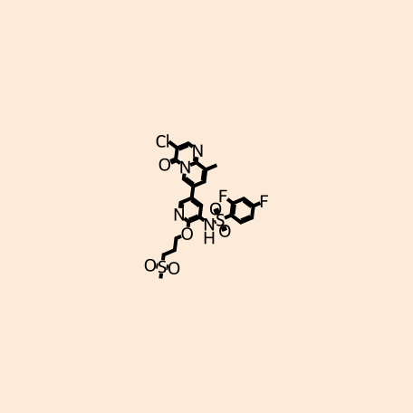 Cc1cc(-c2cnc(OCCCS(C)(=O)=O)c(NS(=O)(=O)c3ccc(F)cc3F)c2)cn2c(=O)c(Cl)cnc12